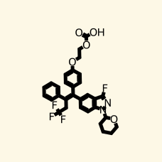 O=C(O)OCCOc1ccc(/C(=C(/CC(F)(F)F)c2ccccc2)c2ccc3c(c2)c(F)nn3C2CCCCO2)cc1